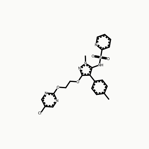 Cc1ccc(-c2c(OCCOc3ncc(Cl)cn3)nn(C)c2NS(=O)(=O)c2ccccn2)cc1